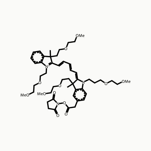 COCCOCCCN1/C(=C/C=C/C=C/C2=[N+](CCOCCOC)c3ccccc3C2(C)CCOCCOC)C(C)(CCOCCOC)c2cc(CC(=O)ON3C(=O)CCC3=O)ccc21